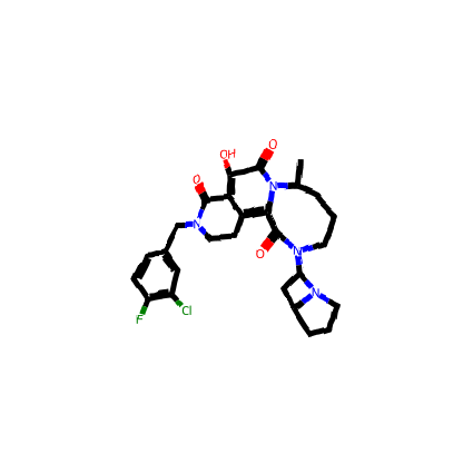 CC1CCCN(C2CC3CCCN32)C(=O)c2c3c(c(O)c(=O)n21)C(=O)N(Cc1ccc(F)c(Cl)c1)CC3